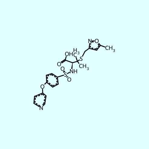 Cc1cc(CSC(C)(C)[C@@H](NS(=O)(=O)c2ccc(Oc3ccncc3)cc2)C(=O)O)no1